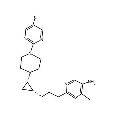 Cc1cc(CCC[C@@H]2C[C@@H]2C2CCN(c3ncc(Cl)cn3)CC2)ncc1N